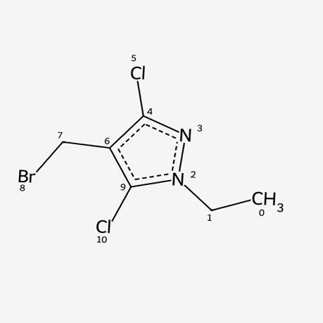 CCn1nc(Cl)c(CBr)c1Cl